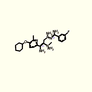 Cc1nc(/C(N)=C(\CN(N)/N=C(\N)c2cccc(F)c2)N(C)N)ccc1OC1CCCCC1